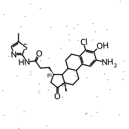 Cc1cnc(NC(=O)CC[C@@H]2CC(=O)[C@@]3(C)CCC4c5cc(N)c(O)c(Cl)c5CCC4C23)s1